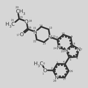 COc1cc(-c2cnc3ccc(N4CCN(C(=O)OC(C)C)CC4)nn23)ccn1